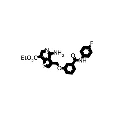 CCOC(=O)c1cnc(N)c2c(COc3cccc(C(=O)Nc4ccc(F)cc4)c3)csc12